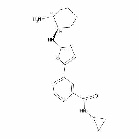 N[C@@H]1CCCC[C@H]1Nc1ncc(-c2cccc(C(=O)NC3CC3)c2)o1